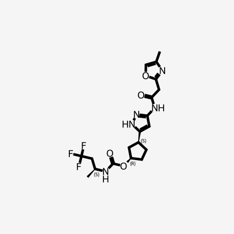 Cc1coc(CC(=O)Nc2cc([C@H]3CC[C@@H](OC(=O)N[C@@H](C)CC(F)(F)F)C3)[nH]n2)n1